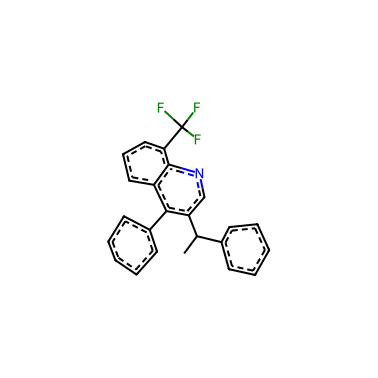 CC(c1ccccc1)c1cnc2c(C(F)(F)F)cccc2c1-c1ccccc1